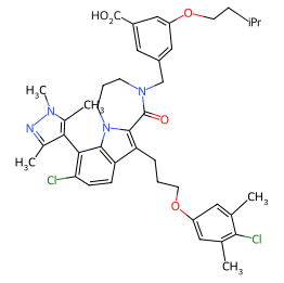 Cc1cc(OCCCc2c3n(c4c(-c5c(C)nn(C)c5C)c(Cl)ccc24)CCCN(Cc2cc(OCCC(C)C)cc(C(=O)O)c2)C3=O)cc(C)c1Cl